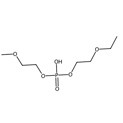 CCOCCOP(=O)(O)OCCOC